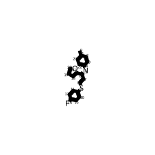 Cc1ccc(N=C(C=CSc2ccc(F)cc2)c2ccco2)cc1